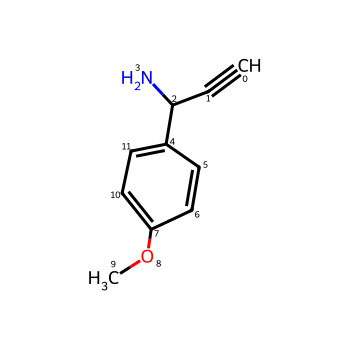 C#CC(N)c1ccc(OC)cc1